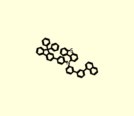 c1ccc(C2(c3ccccc3)c3ccccc3-c3ccc(-c4ccc(N(c5cccc(-c6cccc(-c7cccc8ccccc78)c6)c5)c5cccc6sc7ccccc7c56)cc4)cc32)cc1